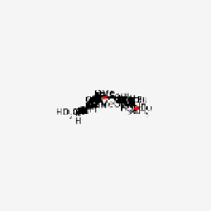 COc1cc2c(cc1OCCCCCOc1cc3c(cc1OC)C(=O)N1C[C@@H](O[Si](C)(C)C(C)(C)C)C(C(C)(C)C)[C@H]1CN3)NC[C@@H]1CC(c3ccc(NC(=O)O)cc3)=CN1C2=O